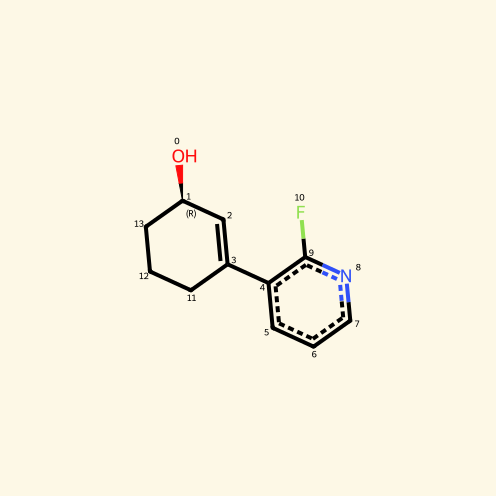 O[C@H]1C=C(c2cccnc2F)CCC1